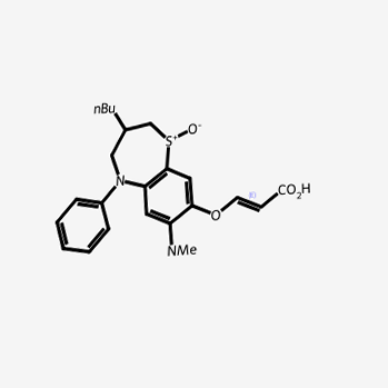 CCCCC1CN(c2ccccc2)c2cc(NC)c(O/C=C/C(=O)O)cc2[S+]([O-])C1